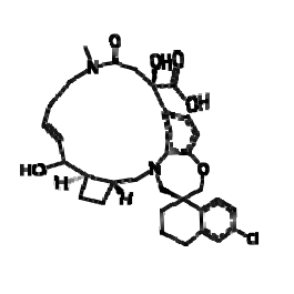 CN1CC/C=C/C(O)[C@@H]2CC[C@H]2CN2C[C@@]3(CCCc4cc(Cl)ccc43)COc3ccc(cc32)[C@@](O)(C(=O)O)CC1=O